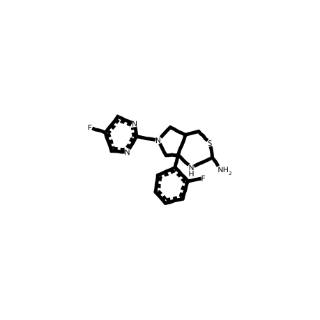 NC1NC2(c3ccccc3F)CN(c3ncc(F)cn3)CC2CS1